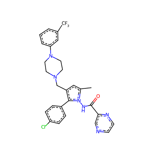 Cc1cc(CN2CCN(c3cccc(C(F)(F)F)c3)CC2)c(-c2ccc(Cl)cc2)n1NC(=O)c1cnccn1